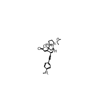 COC(C)[C@H]1CC[C@H]2N1[C@@H]1C=C(C#Cc3ccc(N(C)C)cc3)C3=CC(=O)O[C@@]32C1